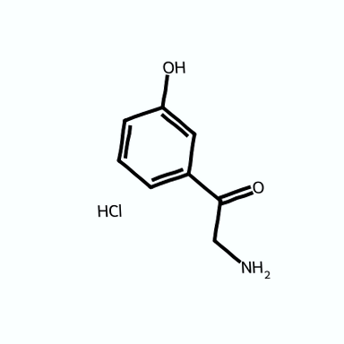 Cl.NCC(=O)c1cccc(O)c1